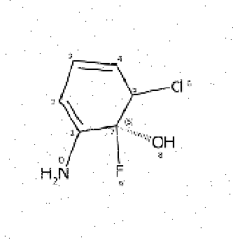 NC1=CC=CC(Cl)[C@@]1(O)F